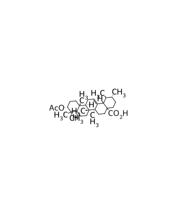 CC(=O)O[C@@H]1CC[C@]2(C)[C@H]3CC=C4[C@@H]5[C@@H](C)[C@H](C)CC[C@]5(C(=O)O)CC[C@@]4(C)[C@]3(C)CC[C@H]2C1(C)C